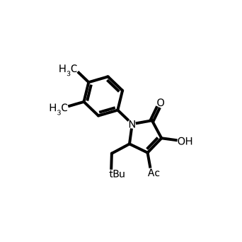 CC(=O)C1=C(O)C(=O)N(c2ccc(C)c(C)c2)C1CC(C)(C)C